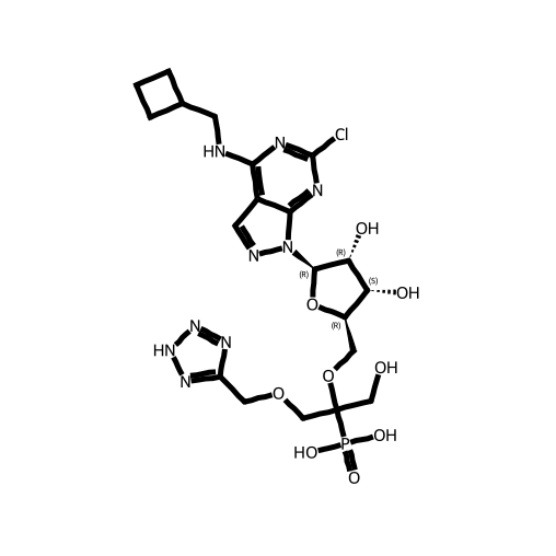 O=P(O)(O)C(CO)(COCc1nn[nH]n1)OC[C@H]1O[C@@H](n2ncc3c(NCC4CCC4)nc(Cl)nc32)[C@H](O)[C@@H]1O